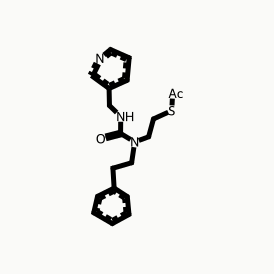 CC(=O)SCCN(CCc1ccccc1)C(=O)NCc1cccnc1